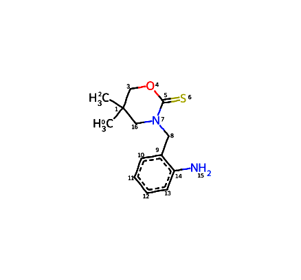 CC1(C)COC(=S)N(Cc2ccccc2N)C1